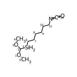 COC(OC)[SiH2]CCCCCCN=C=O